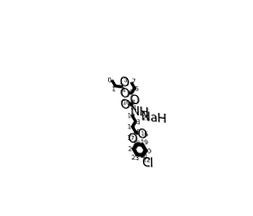 CCC(=O)OC(CC)OC(=O)NCCCC(=O)Oc1ccc(Cl)cc1.[NaH]